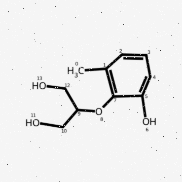 Cc1cccc(O)c1OC(CO)CO